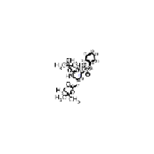 CC(C)(C)OC(=O)C[C@@H](/C=C/S(=O)(=O)Oc1ccccc1)NC(=O)OC(C)(C)C